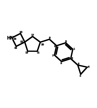 c1cc(C2CC2)ccc1CC1CCC2(CNC2)C1